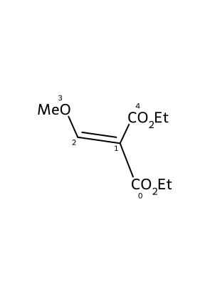 CCOC(=O)C(=COC)C(=O)OCC